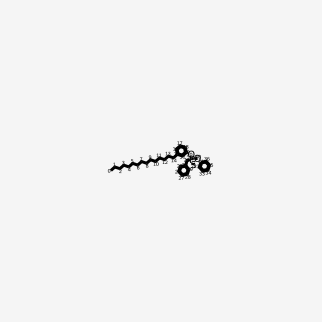 CCCCCCCCCCCCCCCc1cccc(OP(=S)(Cc2ccccc2)Oc2ccccc2)c1